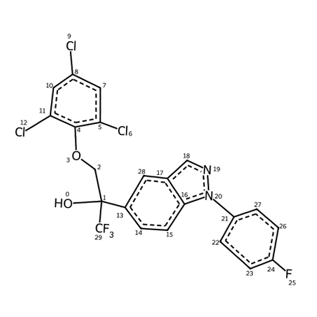 OC(COc1c(Cl)cc(Cl)cc1Cl)(c1ccc2c(cnn2-c2ccc(F)cc2)c1)C(F)(F)F